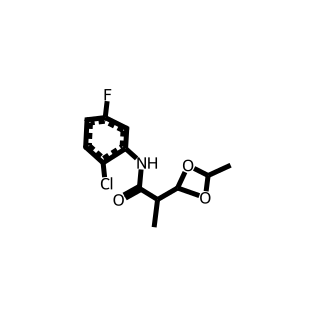 CC1OC(C(C)C(=O)Nc2cc(F)ccc2Cl)O1